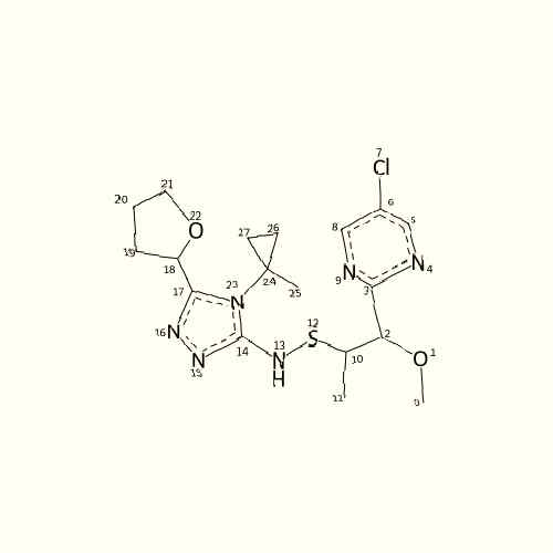 COC(c1ncc(Cl)cn1)C(C)SNc1nnc(C2CCCO2)n1C1(C)CC1